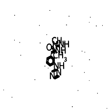 CN1C(=N)N[C@](C)(C[C@H]2CCC[C@H](Nc3cnccn3)C2)C1=O